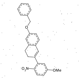 COc1ccc([N+](=O)[O-])c(C2=Cc3ccc(OCc4ccccc4)cc3CC2)c1